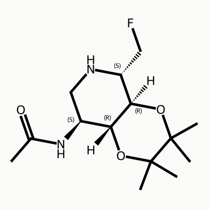 CC(=O)N[C@H]1CN[C@H](CF)[C@H]2OC(C)(C)C(C)(C)O[C@@H]21